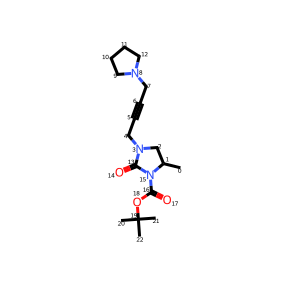 CC1CN(CC#CCN2CCCC2)C(=O)N1C(=O)OC(C)(C)C